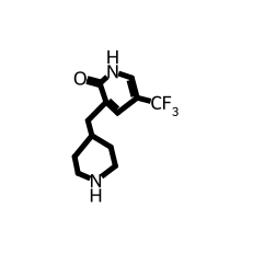 O=c1[nH]cc(C(F)(F)F)cc1CC1CCNCC1